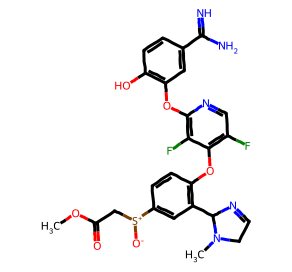 COC(=O)C[S+]([O-])c1ccc(Oc2c(F)cnc(Oc3cc(C(=N)N)ccc3O)c2F)c(C2N=CCN2C)c1